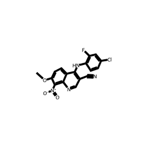 COc1ccc2c(Nc3ccc(Cl)cc3F)c(C#N)cnc2c1[N+](=O)[O-]